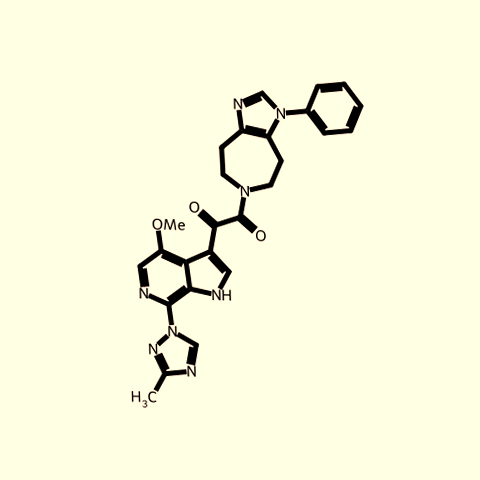 COc1cnc(-n2cnc(C)n2)c2[nH]cc(C(=O)C(=O)N3CCc4ncn(-c5ccccc5)c4CC3)c12